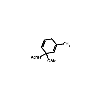 COC1(NC(C)=O)C=C[CH]C(C)=C1